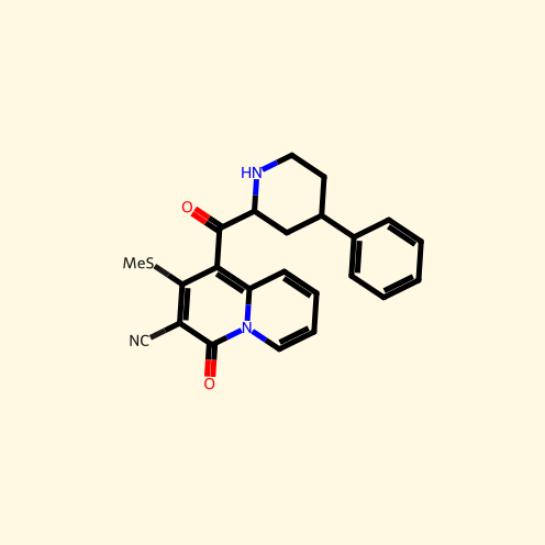 CSc1c(C#N)c(=O)n2ccccc2c1C(=O)C1CC(c2ccccc2)CCN1